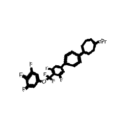 CCCC1CCCC(C2CCC(c3cc(F)c(C(F)(F)Oc4cc(F)c(F)c(F)c4)c(F)c3)CC2)CC1